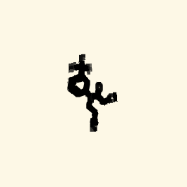 N#CCCN(C(=O)CCl)c1cccc(C(F)(F)F)c1